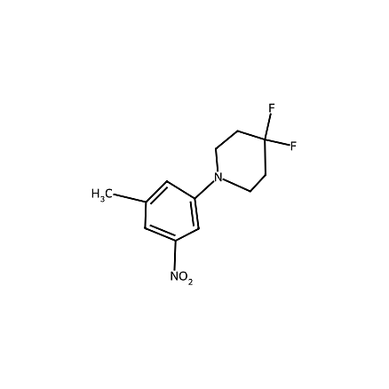 Cc1cc(N2CCC(F)(F)CC2)cc([N+](=O)[O-])c1